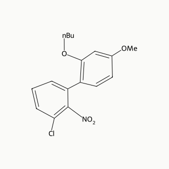 CCCCOc1cc(OC)ccc1-c1cccc(Cl)c1[N+](=O)[O-]